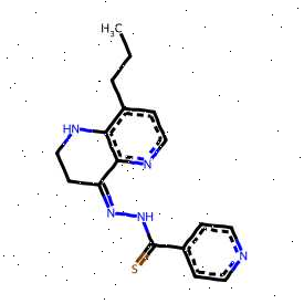 CCCc1ccnc2c1NCC/C2=N/NC(=S)c1ccncc1